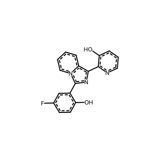 Oc1ccc(F)cc1-c1nc(-c2ncccc2O)c2ccccn12